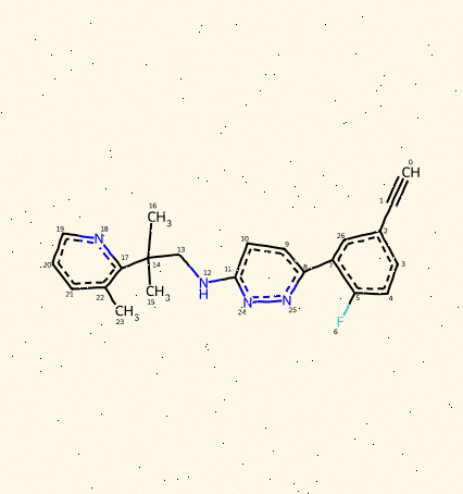 C#Cc1ccc(F)c(-c2ccc(NCC(C)(C)c3ncccc3C)nn2)c1